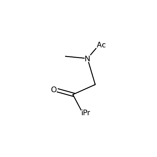 CC(=O)N(C)CC(=O)C(C)C